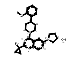 COc1ccccc1C1CCN(c2nc(C3(F)CC3)nc3cnc(N4CC[C@H](O)C4)cc23)CC1